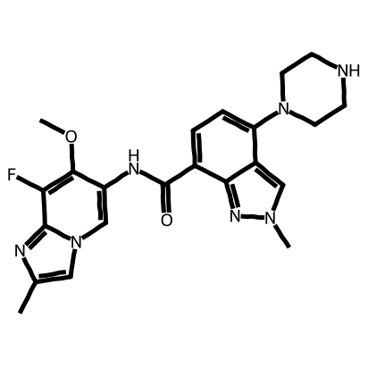 COc1c(NC(=O)c2ccc(N3CCNCC3)c3cn(C)nc23)cn2cc(C)nc2c1F